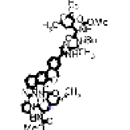 C=C[C@@H]1C/C(=C/[C@H](NC(=O)OC)C(=O)N2[C@@H](C)CC[C@H]2c2nc3ccc4cc5c(cc4c3[nH]2)OCc2cc(-c3cnc([C@H](C)N(C(=O)[C@@H](NC(=O)OC)C4C[C@@H](C)O[C@H](C)C4)[C@@H](C)CC)[nH]3)ccc2-5)C[C@@H](C)O1